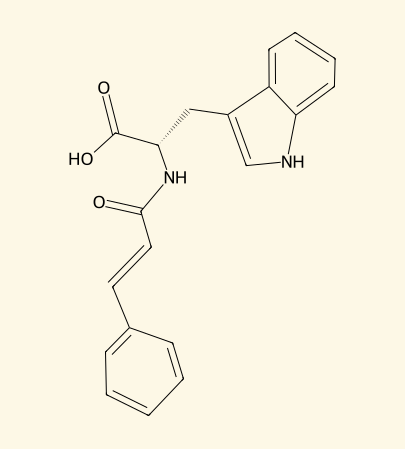 O=C(C=Cc1ccccc1)N[C@@H](Cc1c[nH]c2ccccc12)C(=O)O